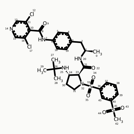 C[C@H](Cc1ccc(NC(=O)c2c(Cl)cncc2Cl)cc1)NC(=O)[C@@H]1[C@@H](NC(C)(C)C)CCN1S(=O)(=O)c1cccc(S(C)(=O)=O)c1